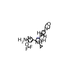 N=C(/C=C(\NCC1CC1)[C@H]1[C@@H]2C[C@H](N3CCOCC3)C[C@@H]21)c1cnc(N)c(OC(F)F)c1